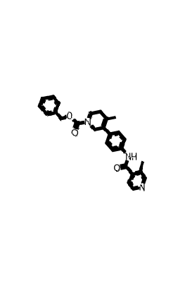 CC1=C(c2ccc(NC(=O)c3ccncc3C)cc2)CN(C(=O)OCc2ccccc2)CC1